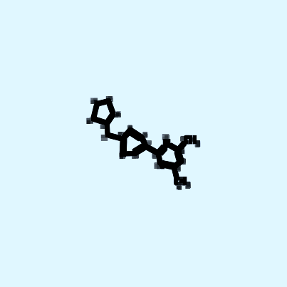 Cc1cc(C)nc(-c2ccc(CC3CCCC3)cc2)n1